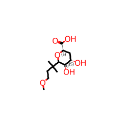 COCCC(C)(C)C1O[C@H](C(=O)O)C[C@H](O)[C@@H]1O